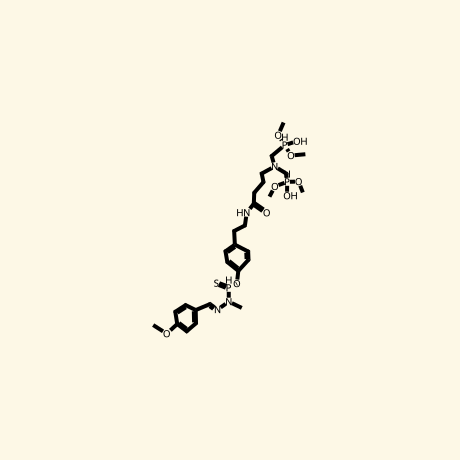 COc1ccc(C=NN(C)[PH](=S)Oc2ccc(CCNC(=O)CCCN(C[PH](O)(OC)OC)C[PH](O)(OC)OC)cc2)cc1